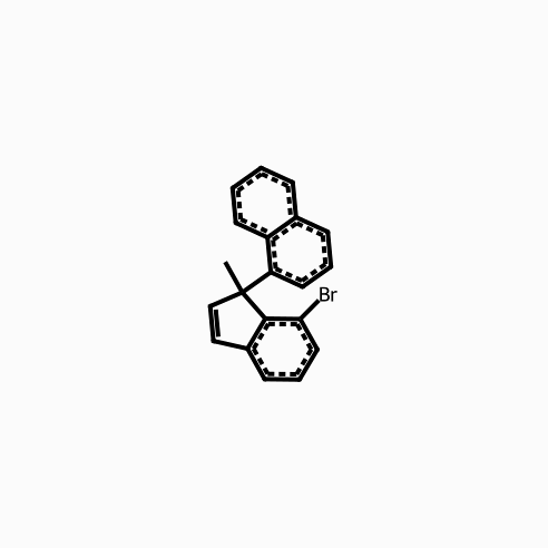 CC1(c2cccc3ccccc23)C=Cc2cccc(Br)c21